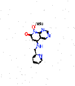 CCCCOn1c(=O)cc(NCc2ccccn2)c2cncnc21